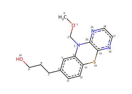 COCN1c2cc(CCCO)ccc2Sc2nccnc21